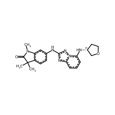 CN1C(=O)C(C)(C)c2ccc(Nc3nc4cccc(N[C@@H]5CCOC5)n4n3)cc21